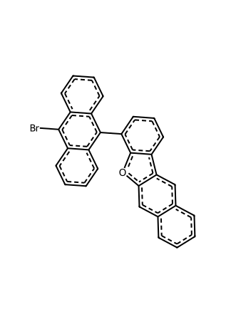 Brc1c2ccccc2c(-c2cccc3c2oc2cc4ccccc4cc23)c2ccccc12